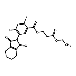 CCOC(=O)CCOC(=S)c1cc(N2C(=O)C3=C(CCCC3)C2=O)c(F)cc1F